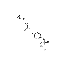 C1=CC1.CCOC(=O)CCc1ccc(OS(=O)(=O)C(F)(F)F)cc1